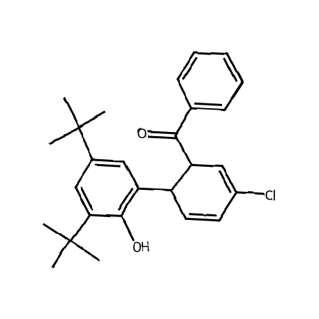 CC(C)(C)c1cc(C2C=CC(Cl)=CC2C(=O)c2ccccc2)c(O)c(C(C)(C)C)c1